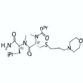 CCCC(=O)N(C)[C@H](CSCCCN1CCOCC1)C(=O)N(C)[C@@H](CC(C)C)C(N)=O